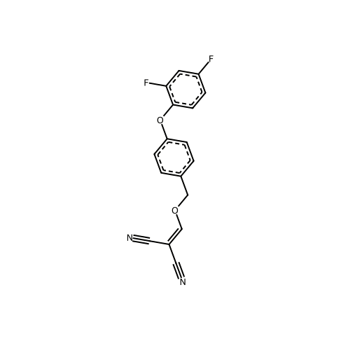 N#CC(C#N)=COCc1ccc(Oc2ccc(F)cc2F)cc1